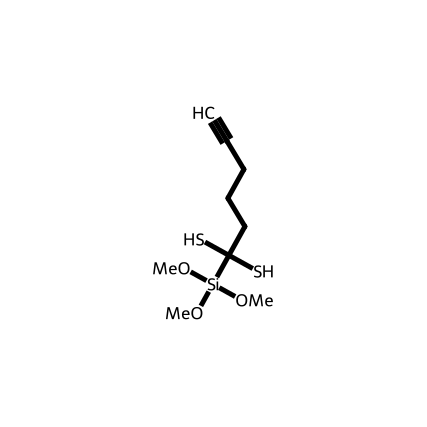 C#CCCCC(S)(S)[Si](OC)(OC)OC